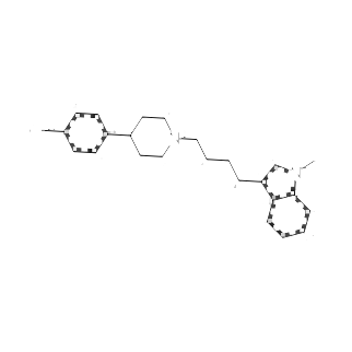 Cn1cc(CCCCN2CCC(c3ccc(Cl)cc3)CC2)c2ccccc21